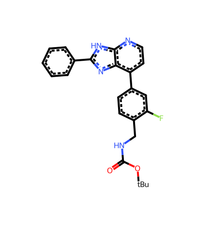 CC(C)(C)OC(=O)NCc1ccc(-c2ccnc3[nH]c(-c4ccccc4)nc23)cc1F